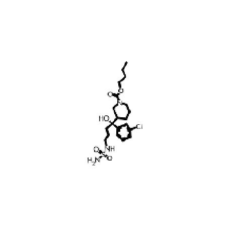 CCCCOC(=O)N1CCCC([C@@](O)(CCCNS(N)(=O)=O)c2cccc(Cl)c2)C1